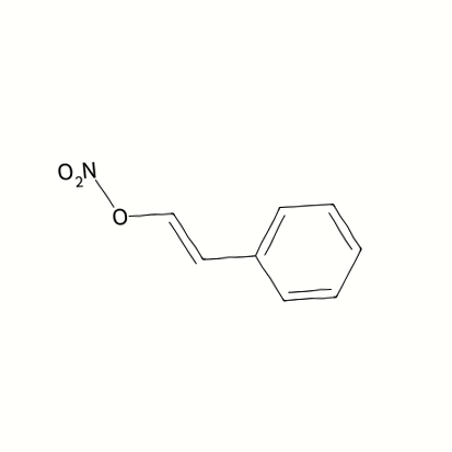 O=[N+]([O-])OC=Cc1ccccc1